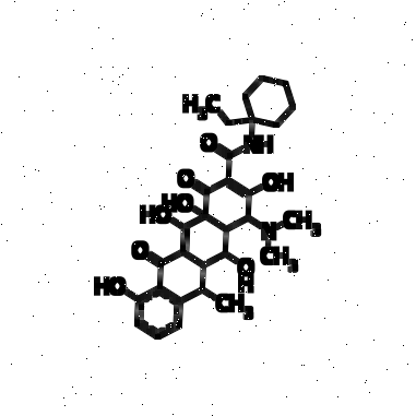 CCC1(NC(=O)C2=C(O)C(N(C)C)C3C(O)C4C(=C(O)C3(O)C2=O)C(=O)c2c(O)cccc2C4C)CCCCC1